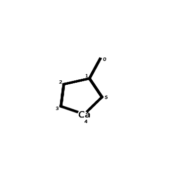 CC1C[CH2][Ca][CH2]1